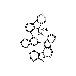 CC1(C)c2ccccc2-c2cccc(-c3nc(-n4c5ccccc5c5ccc6sc7ccccc7c6c54)nc4ccccc34)c21